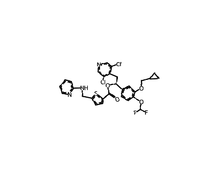 O=C(O[C@@H](Cc1c(Cl)cncc1Cl)c1ccc(OC(F)F)c(OCC2CC2)c1)c1ccc(CNc2ccccn2)s1